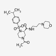 CC(=O)N1CCN(S(=O)(=O)c2ccc(C(C)C)cc2)[C@@H](C(=O)NCCCN2CCOCC2)C1